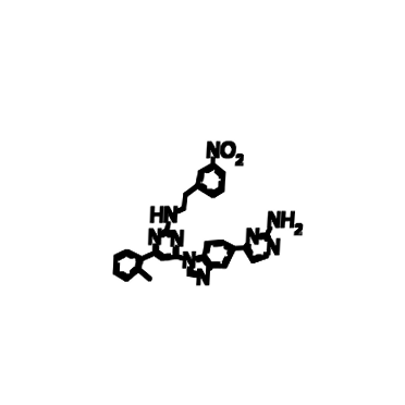 Cc1ccccc1-c1cc(-n2cnc3cc(-c4ccnc(N)n4)ccc32)nc(NCCc2cccc([N+](=O)[O-])c2)n1